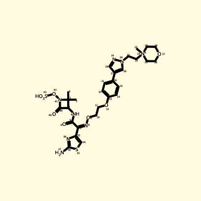 CC1(C)C(NC(=O)/C(=N\OCCOc2ccc(-c3cnn(CC[N+]4(C)CCOCC4)c3)cc2)c2csc(N)n2)C(=O)N1OS(=O)(=O)O